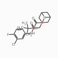 CC(C)(C)NC(=O)CN1C2CC1CN(CC(=O)Nc1ccc(F)c(Cl)c1)C2